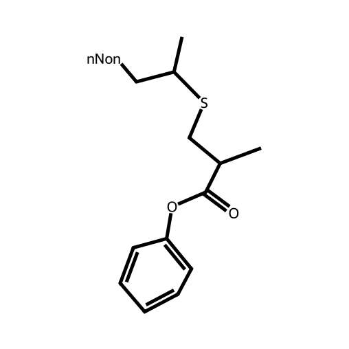 CCCCCCCCCCC(C)SCC(C)C(=O)Oc1ccccc1